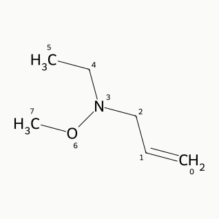 C=CCN(CC)OC